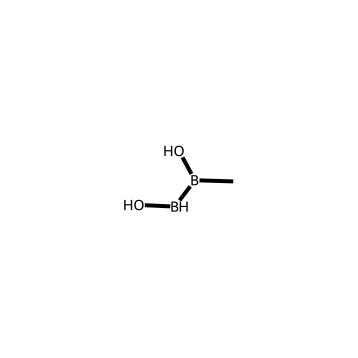 CB(O)BO